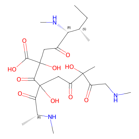 CC[C@H](C)[C@@H](NC)C(=O)CC(O)(C(=O)O)C(=O)C(O)(CC(=O)C(C)(O)C(=O)CNC)C(=O)[C@@H](C)NC